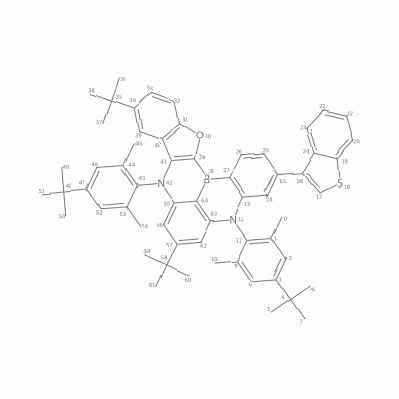 Cc1cc(C(C)(C)C)cc(C)c1N1c2cc(-c3csc4ccccc34)ccc2B2c3oc4ccc(C(C)(C)C)cc4c3N(c3c(C)cc(C(C)(C)C)cc3C)c3cc(C(C)(C)C)cc1c32